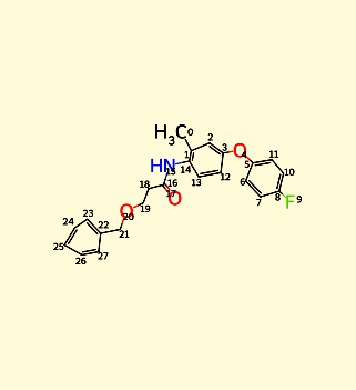 Cc1cc(Oc2ccc(F)cc2)ccc1NC(=O)CCOCc1ccccc1